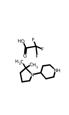 CC1(C)CCCN1C1CCNCC1.O=C(O)C(F)(F)F